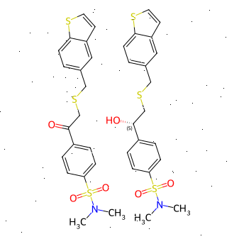 CN(C)S(=O)(=O)c1ccc(C(=O)CSCc2ccc3sccc3c2)cc1.CN(C)S(=O)(=O)c1ccc([C@H](O)CSCc2ccc3sccc3c2)cc1